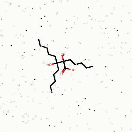 CCCCCC(O)(CCCCC)C(O)(CCCCC)C(=O)O